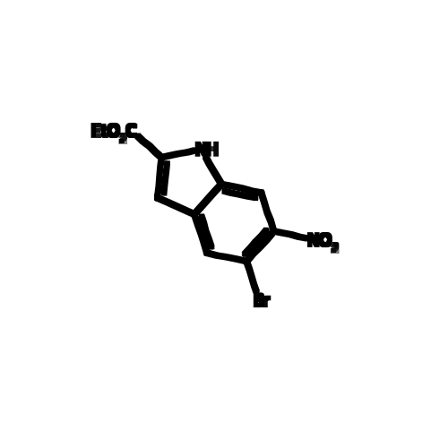 CCOC(=O)c1cc2cc(Br)c([N+](=O)[O-])cc2[nH]1